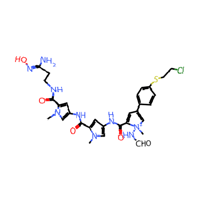 Cn1cc(NC(=O)c2cc(NC(=O)C3=CC(c4ccc(SCCCl)cc4)=C[N+]3(C)NC=O)cn2C)cc1C(=O)NCCC(N)=NO